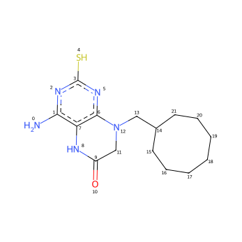 Nc1nc(S)nc2c1NC(=O)CN2CC1CCCCCCC1